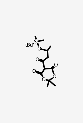 CC(CC(=O)C1C(=O)OC(C)(C)OC1=O)O[Si](C)(C)C(C)(C)C